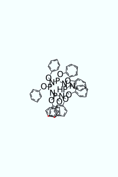 N#C[PH]1(Oc2ccccc2)N(Oc2ccccc2)P(Oc2ccccc2)N(Oc2ccccc2)P(Oc2ccccc2)N=P(Oc2ccccc2)(Oc2ccccc2)N1Oc1ccccc1